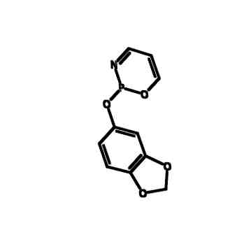 C1=COP(Oc2ccc3c(c2)OCO3)N=C1